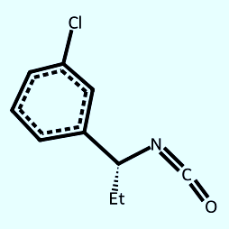 CC[C@@H](N=C=O)c1cccc(Cl)c1